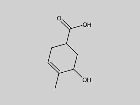 CC1=CCC(C(=O)O)CC1O